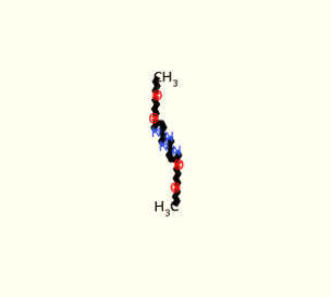 CCCCOCCCCOc1ccc(-c2cnc(-c3ccc(OCCCCOCCCC)cn3)cn2)nc1